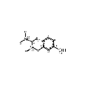 CCC([C@H](C)Cc1cccc(O)c1)N(C)C